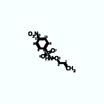 C=CCONS(=O)(=O)c1ccc([N+](=O)[O-])cc1